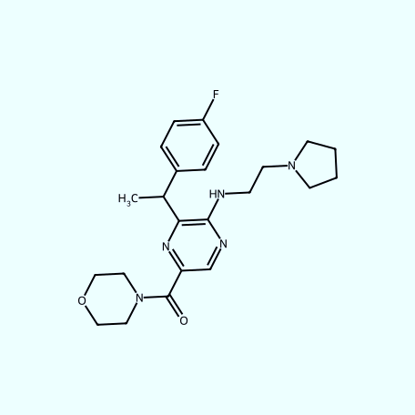 CC(c1ccc(F)cc1)c1nc(C(=O)N2CCOCC2)cnc1NCCN1CCCC1